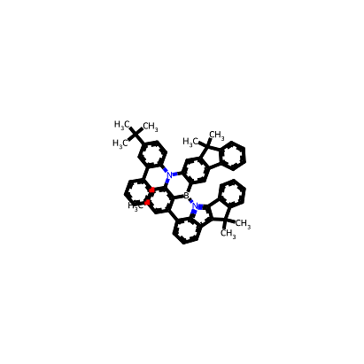 Cc1cc2c3c(c1)N(c1ccc(C(C)(C)C)cc1-c1ccccc1)c1cc4c(cc1B3n1c3c(c5cccc-2c51)C(C)(C)c1ccccc1-3)-c1ccccc1C4(C)C